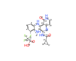 CNc1ccccc1Nc1cc(NC(=O)C2CC2)nc2cc[nH]c(=O)c12.O=C(O)C(F)(F)F